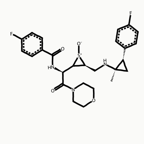 C[C@@]1(NC[C@H]2C([C@H](NC(=O)c3ccc(F)cc3)C(=O)N3CCOCC3)[S+]2[O-])C[C@H]1c1ccc(F)cc1